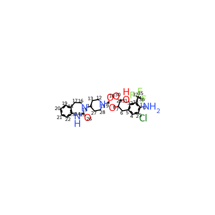 Nc1c(Cl)cc(CC(OC(=O)N2CCC(N3CCc4ccccc4NC3=O)CC2)C(=O)O)cc1C(F)(F)F